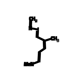 C=N/I=C/C(C)=C\C=C\NC